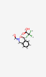 O=C(O)C(F)(F)F.O=CN1Cc2ccccc2CO1